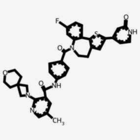 Cc1cnc(N2CC3(CCOCC3)C2)c(C(=O)Nc2ccc(C(=O)N3CCc4cc(-c5cc[nH]c(=O)c5)sc4-c4ccc(F)cc43)cc2)c1